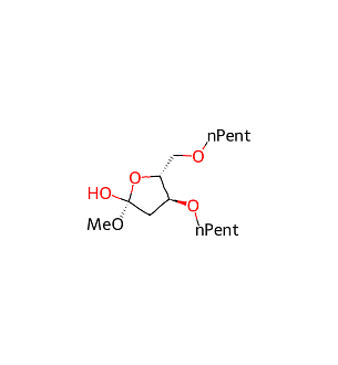 CCCCCOC[C@H]1O[C@@](O)(OC)C[C@@H]1OCCCCC